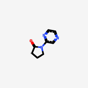 O=C1[CH]CCN1c1cnccn1